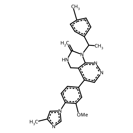 C=C1NCc2c(-c3ccc(-n4cnc(C)c4)c(OC)c3)cnnc2N1C(C)c1ccc(C)cc1